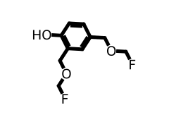 Oc1ccc(COCF)cc1COCF